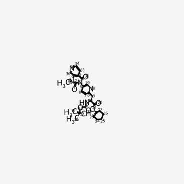 Cn1c(=O)n(-c2ccc(C[C@H](NC(=O)OC(C)(C)C)C(=O)OC3CCCCC3)nc2)c(=O)c2ccncc21